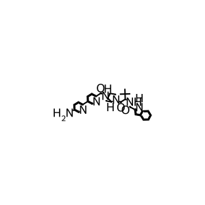 CC(C)(C)C(NC(=O)c1cc2ccccc2[nH]1)C(=O)N1C[C@@H]2C[C@H]1CN2C(=O)c1ccc(-c2ccc(N)cn2)cn1